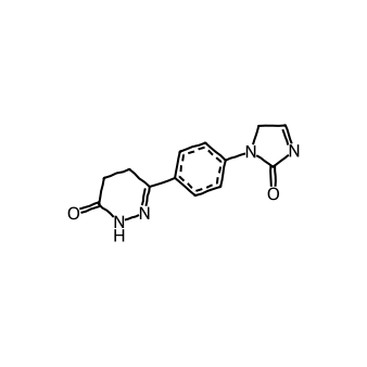 O=C1CCC(c2ccc(N3CC=NC3=O)cc2)=NN1